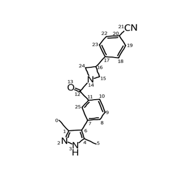 Cc1n[nH]c(C)c1-c1cccc(C(=O)N2CC(c3ccc(C#N)cc3)C2)c1